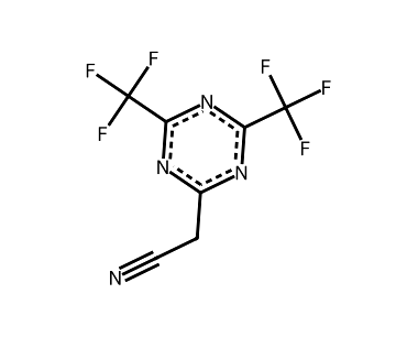 N#CCc1nc(C(F)(F)F)nc(C(F)(F)F)n1